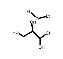 CCC(O)C(O)CO.CCOCC